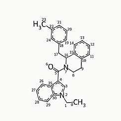 CCn1cc(C(=O)N2CCc3ccccc3C2Cc2cccc(C)c2)c2ccccc21